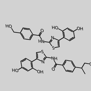 CC(CO)c1ccc(C(=O)Nc2nc(-c3ccc(O)cc3O)cs2)cc1.O=C(Nc1nc(-c2ccc(O)cc2O)cs1)c1ccc(CO)cc1